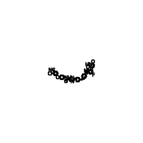 N#Cc1ccc(OC2CCC(NC(=O)c3cnc(N4CCC(CN5CCC(n6ncc7c(N8CCC(=O)NC8=O)cc(F)cc76)CC5)CC4)nc3)CC2)cc1Cl